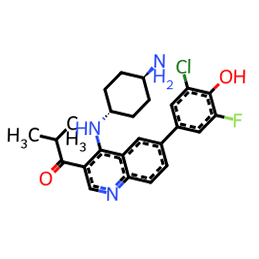 CC(C)C(=O)c1cnc2ccc(-c3cc(F)c(O)c(Cl)c3)cc2c1N[C@H]1CC[C@H](N)CC1